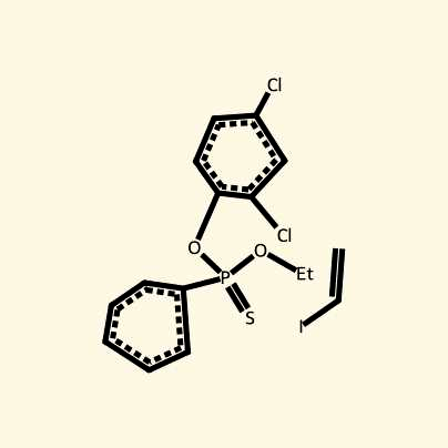 C=CI.CCOP(=S)(Oc1ccc(Cl)cc1Cl)c1ccccc1